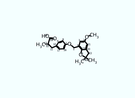 COc1cc(COc2ccc(C[C@@H](C)C(=O)O)cc2)c2c(c1)CC(C)(C)O2